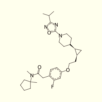 CC(C)c1noc(N2CCC([C@H]3C[C@H]3CCOc3ccc(CC(=O)N(C)C4(C)CCCC4)c(F)c3)CC2)n1